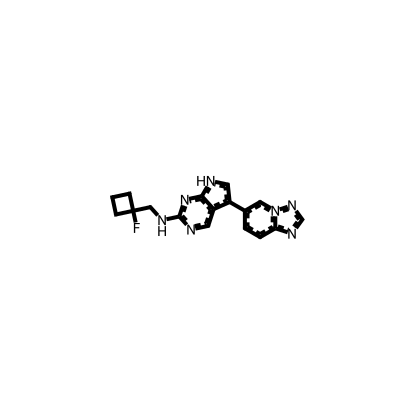 FC1(CNc2ncc3c(-c4ccc5ncnn5c4)c[nH]c3n2)CCC1